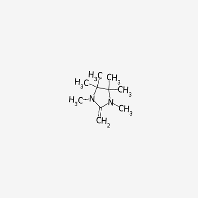 C=C1N(C)C(C)(C)C(C)(C)N1C